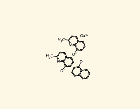 Cc1ccc2cccc([O-])c2n1.Cc1ccc2cccc([O-])c2n1.[Ga+3].[O-]c1cccc2ccccc12